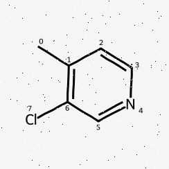 Cc1c[c]ncc1Cl